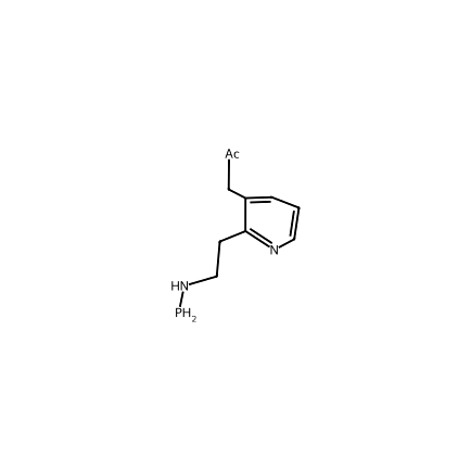 CC(=O)Cc1cccnc1CCNP